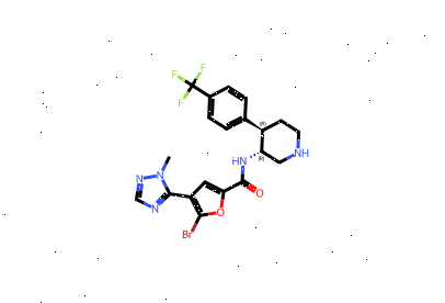 Cn1ncnc1-c1cc(C(=O)N[C@H]2CNCC[C@@H]2c2ccc(C(F)(F)F)cc2)oc1Br